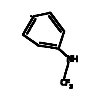 FC(F)(F)Nc1cc[c]cc1